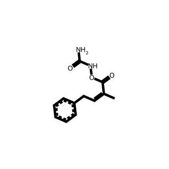 CC(=CCc1ccccc1)C(=O)ONC(N)=O